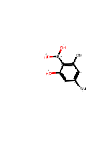 CC(C)(C)c1cc(O)c(B(O)O)c(C(C)(C)C)c1